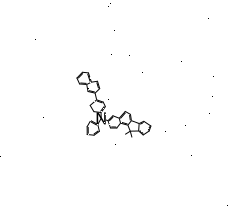 CC1(C)c2ccccc2-c2ccc3cc(N(C4=CC=C(c5ccc6ccccc6c5)CC4)c4ccccc4)ccc3c21